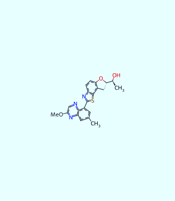 COc1cnc2c(-c3nc4ccc5c(c4s3)C[C@@H]([C@H](C)O)O5)cc(C)cc2n1